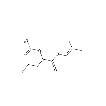 CC(C)=COC(=O)N(CCI)OC(N)=O